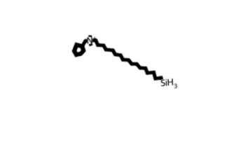 C[N+](C)(CCCCCCCCCCCCCCCCC[SiH3])Cc1ccccc1